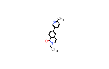 CCn1ccc2cc(-c3ccc(C)nc3)ccc2c1=O